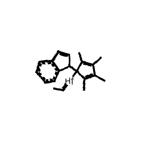 C[CH]=[Hf][C]1(C2C=Cc3ccccc32)C(C)=C(C)C(C)=C1C